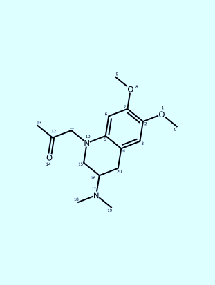 COc1cc2c(cc1OC)N(CC(C)=O)CC(N(C)C)C2